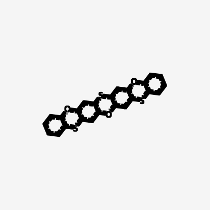 c1ccc2sc3cc4oc5cc6sc7ccccc7oc6cc5sc4cc3oc2c1